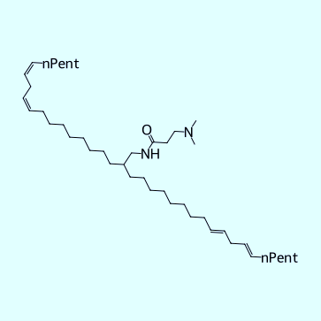 CCCCCC=CCC=CCCCCCCCCC(CCCCCCCC/C=C\C/C=C\CCCCC)CNC(=O)CCN(C)C